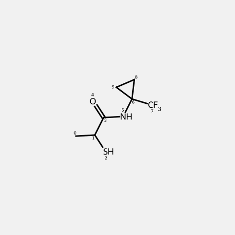 CC(S)C(=O)NC1(C(F)(F)F)CC1